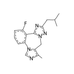 Cc1ncn2c1Cn1nc(CC(C)C)nc1-c1c(F)cccc1-2